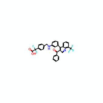 O=C(c1ccccc1)c1cnc2c(C(F)(F)F)cccc2c1-c1cccc(NCc2ccc(C(F)(F)C(=O)O)cc2)c1